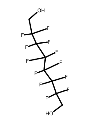 OCC(F)(F)C(F)(F)C(F)(F)C(F)(F)C(F)(F)C(F)(F)CO